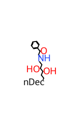 CCCCCCCCCCCCC(O)C(O)CCNCC(=O)c1ccccc1